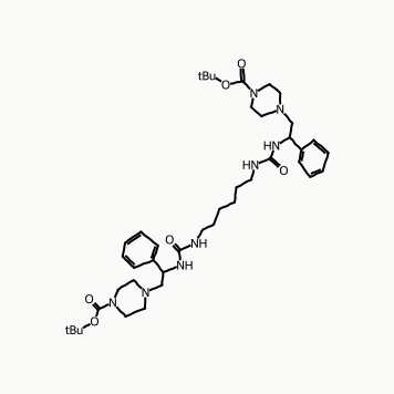 CC(C)(C)OC(=O)N1CCN(CC(NC(=O)NCCCCCCNC(=O)NC(CN2CCN(C(=O)OC(C)(C)C)CC2)c2ccccc2)c2ccccc2)CC1